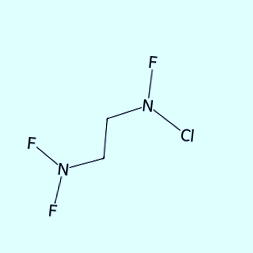 FN(F)CCN(F)Cl